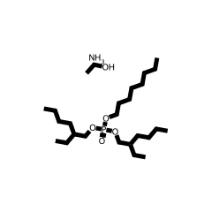 CCCCCCCCOP(=O)(OCC(CC)CCCC)OCC(CC)CCCC.CCO.N